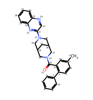 Cc1ccc(-c2ccccc2)c(C(=O)N2CC3CC(C2)CN(c2cnc4ccccc4n2)C3)c1